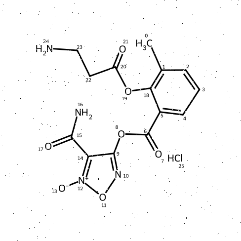 Cc1cccc(C(=O)Oc2no[n+]([O-])c2C(N)=O)c1OC(=O)CCN.Cl